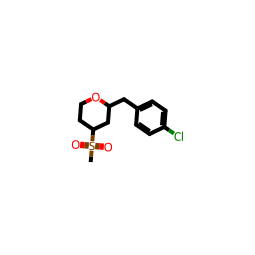 CS(=O)(=O)C1CCOC(Cc2ccc(Cl)cc2)C1